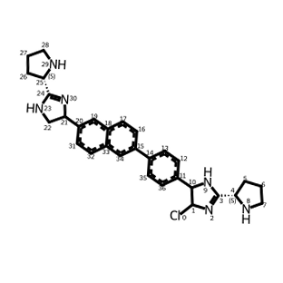 ClC1N=C([C@@H]2CCCN2)NC1c1ccc(-c2ccc3cc(C4CNC([C@@H]5CCCN5)=N4)ccc3c2)cc1